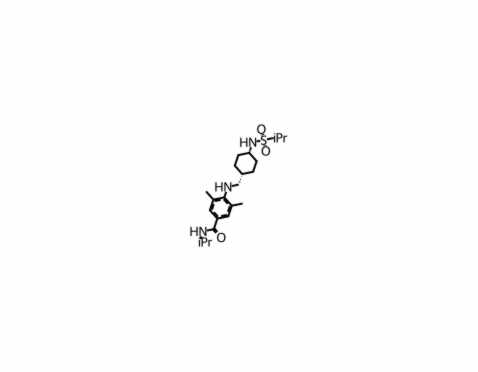 Cc1cc(C(=O)NC(C)C)cc(C)c1NC[C@H]1CC[C@H](NS(=O)(=O)C(C)C)CC1